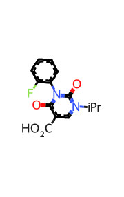 CC(C)n1cc(C(=O)O)c(=O)n(-c2ccccc2F)c1=O